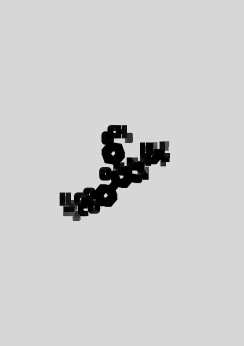 COc1ccc(-n2c(=O)c(-c3ccc4c(c3)OC(C)(C)O4)cc3cnc(NCC(F)(F)F)nc32)cc1